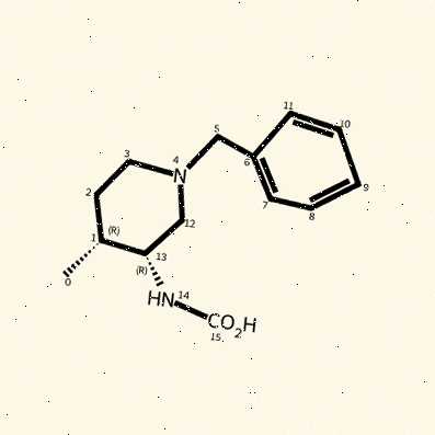 C[C@@H]1CCN(Cc2ccccc2)C[C@@H]1NC(=O)O